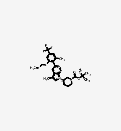 COCOc1cc(C(F)(F)F)cc(C)c1-c1cc2c(C)cn([C@@H]3CCCN(C(=O)OC(C)(C)C)C3)c2nn1